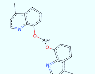 Cc1ccnc2c([O][AlH][O]c3cccc4c(C)ccnc34)cccc12